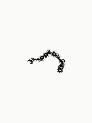 C=CC(=O)OCCCCOc1ccc(-c2ccc(C(=O)/C=C/c3ccc(OCCCCOC(=O)C(=C)CC(=O)OC4CCCCC4)cc3)cc2)cc1